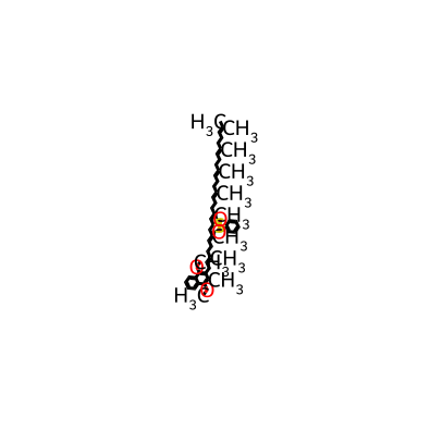 COc1c(C)c(C/C=C(\C)CC/C=C(\C)CC(/C=C(\C)CC/C=C(\C)CC/C=C(\C)CC/C=C(\C)CCC=C(C)C)S(=O)(=O)c2ccccc2)c(OC)c2ccccc12